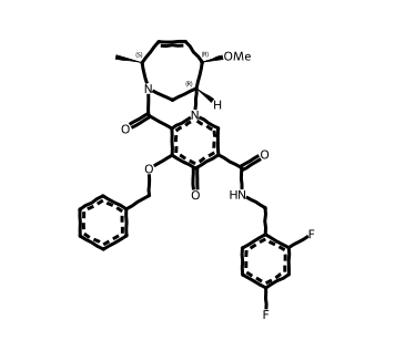 CO[C@@H]1C=C[C@H](C)N2C[C@H]1n1cc(C(=O)NCc3ccc(F)cc3F)c(=O)c(OCc3ccccc3)c1C2=O